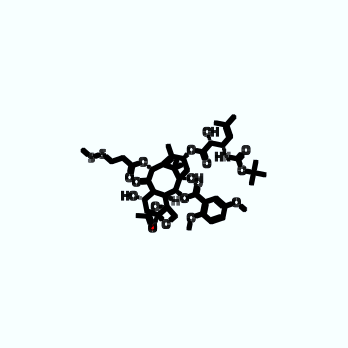 COc1ccc(OC)c(C(=O)O[C@H]2[C@H]3C(C(=O)[C@H](OC(=O)CCSSC)C4=C(C)[C@@H](OC(=O)[C@H](O)[C@H](C=C(C)C)NC(=O)OC(C)(C)C)C[C@]2(O)C4(C)C)[C@@H](O)C[C@H]2OC[C@@]32OC(C)=O)c1